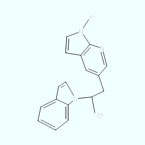 CSC(Cc1cnc2c(ccn2C(C)(C)C)c1)n1ccc2ccccc21